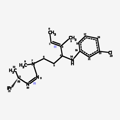 C/C=C(\C)C(CCN(C)/N=N\[C@@H](C)C(C)C)Nc1cccc(Cl)c1